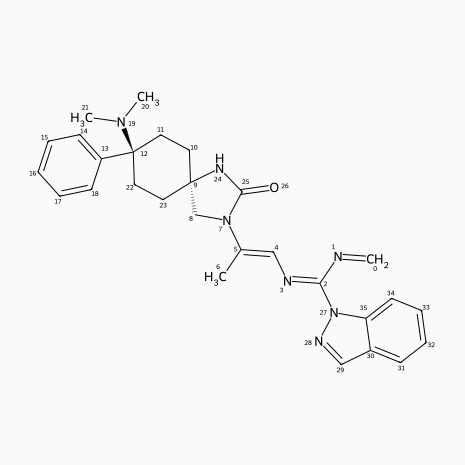 C=N/C(=N\C=C(/C)N1C[C@]2(CC[C@](c3ccccc3)(N(C)C)CC2)NC1=O)n1ncc2ccccc21